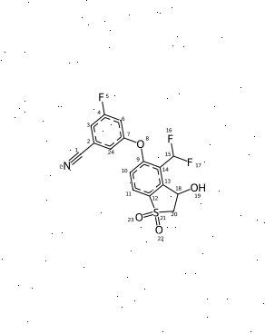 N#Cc1cc(F)cc(Oc2ccc3c(c2C(F)F)C(O)CS3(=O)=O)c1